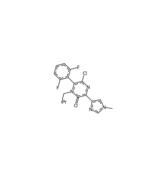 CC(C)Cn1c(-c2c(F)cccc2F)c(Cl)nc(-c2cn(C)cn2)c1=O